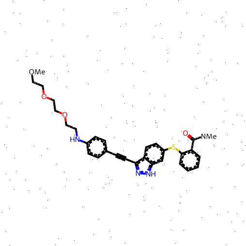 CNC(=O)c1ccccc1Sc1ccc2c(C#Cc3ccc(NCCOCCOCCOC)cc3)n[nH]c2c1